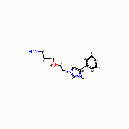 NCCCOCCn1cnc(-c2ccccc2)c1